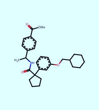 COC(=O)c1ccc(C(C)NC(=O)C2(c3cccc(OCC4CCCCC4)c3)CCCC2)cc1